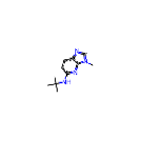 Cn1[c]nc2ccc(NC(C)(C)C)nc21